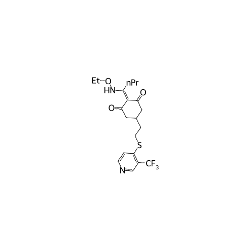 CCCC(NOCC)=C1C(=O)CC(CCSc2ccncc2C(F)(F)F)CC1=O